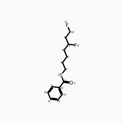 O=C(SCCCCC(F)CCF)c1ccccc1